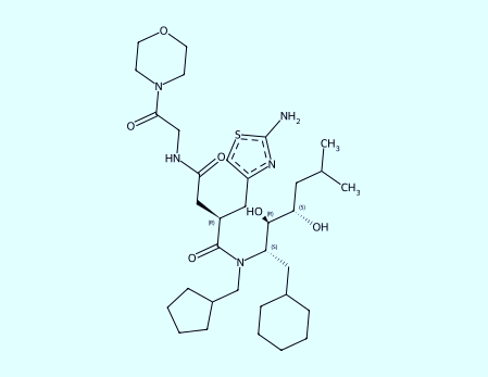 CC(C)C[C@H](O)[C@H](O)[C@H](CC1CCCCC1)N(CC1CCCC1)C(=O)[C@@H](CC(=O)NCC(=O)N1CCOCC1)Cc1csc(N)n1